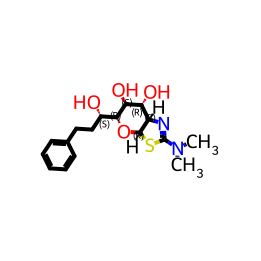 CN(C)C1=N[C@@H]2[C@@H](O)[C@H](O)[C@@H]([C@@H](O)CCc3ccccc3)O[C@@H]2S1